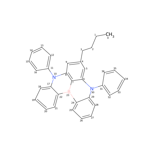 CCCCc1cc2c3c(c1)N(c1ccccc1)c1ccccc1B3c1ccccc1N2c1ccccc1